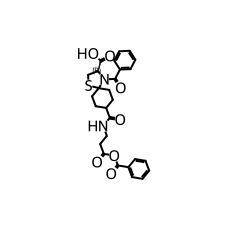 O=C(CCNC(=O)C1CCC2(CC1)SC[C@@H](C(=O)O)N2C(=O)c1ccccc1)OC(=O)c1ccccc1